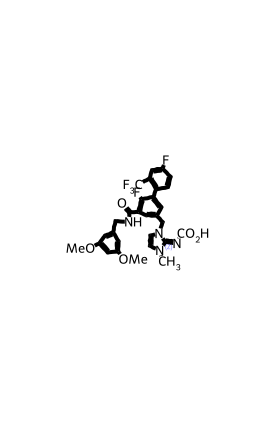 COc1cc(CNC(=O)c2cc(Cn3ccn(C)/c3=N/C(=O)O)cc(-c3ccc(F)cc3C(F)(F)F)c2F)cc(OC)c1